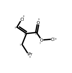 CC(C)CC(=CCl)C(=O)OCl